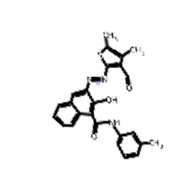 Cc1cccc(NC(=O)c2c(O)c(/N=N/c3sc(C)c(C)c3C=O)cc3ccccc23)c1